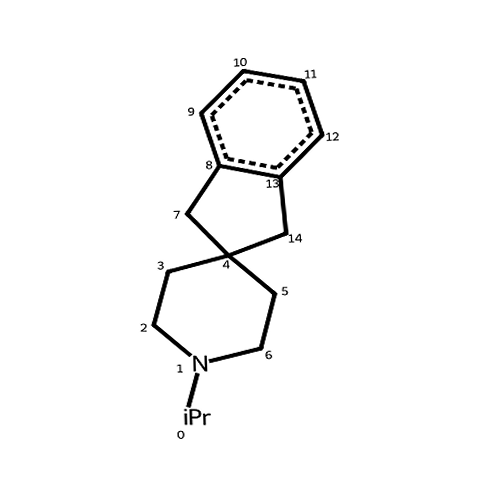 CC(C)N1CCC2(CC1)Cc1ccccc1C2